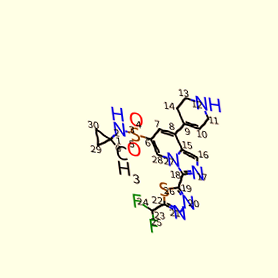 CC1(NS(=O)(=O)c2cc(C3=CCNCC3)c3cnc(-c4nnc(C(F)F)s4)n3c2)CC1